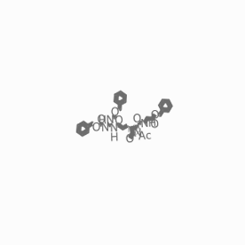 CC(=O)N1C(=O)[C@H](CCCNC(=NC(=O)OCc2ccccc2)NC(=O)OCc2ccccc2)[C@H]1C(=O)NCC(=O)OCc1ccccc1